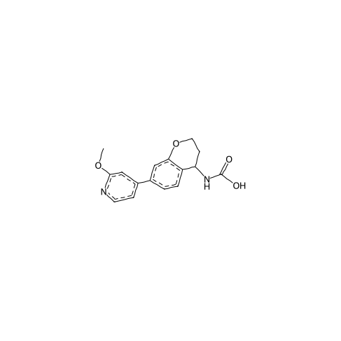 COc1cc(-c2ccc3c(c2)OCCC3NC(=O)O)ccn1